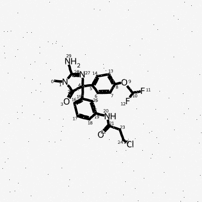 CN1C(=O)C(c2ccc(OC(F)F)cc2)(c2cccc(NC(=O)CCCl)c2)N=C1N